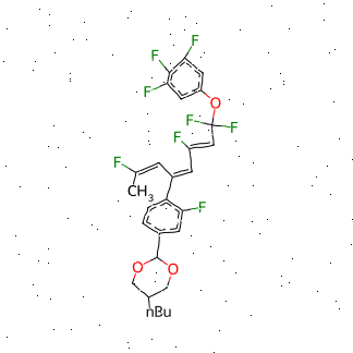 CCCCC1COC(c2ccc(C(/C=C(\C)F)=C/C(F)=C/C(F)(F)Oc3cc(F)c(F)c(F)c3)c(F)c2)OC1